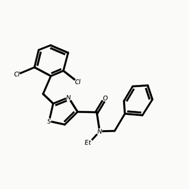 CCN(Cc1ccccc1)C(=O)c1csc(Cc2c(Cl)cccc2Cl)n1